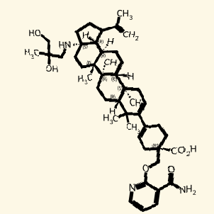 C=C(C)C1CC[C@]2(NCC(C)(O)CO)CC[C@]3(C)[C@H](CC[C@@H]4[C@@]5(C)CC=C(C6=CC[C@](COc7ncccc7C(N)=O)(C(=O)O)CC6)C(C)(C)[C@@H]5CC[C@]43C)[C@@H]12